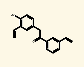 C=Cc1cccc(C(=O)Cc2ccc(C(C)=O)c(C=C)c2)c1